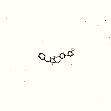 Clc1cn(-c2ccc3c(c2)CCc2sc(Cc4ccccc4)nc2N3)cn1